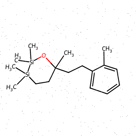 Cc1ccccc1CCC1(C)CC[Si](C)(C)[Si](C)(C)O1